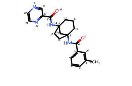 Cc1cccc(C(=O)NC23CCCC(NC(=O)c4cnccn4)(CC2)C3)c1